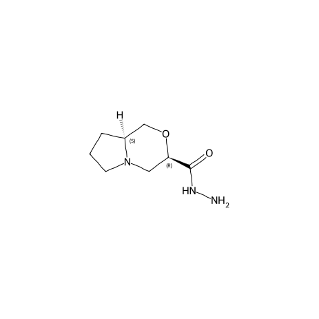 NNC(=O)[C@H]1CN2CCC[C@H]2CO1